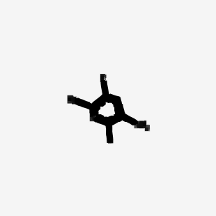 Cc1nc(Br)c(F)cc1N